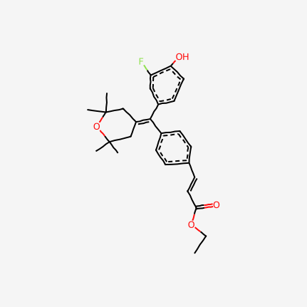 CCOC(=O)/C=C/c1ccc(C(=C2CC(C)(C)OC(C)(C)C2)c2ccc(O)c(F)c2)cc1